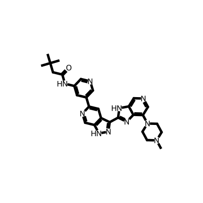 CN1CCN(c2cncc3[nH]c(-c4n[nH]c5cnc(-c6cncc(NC(=O)CC(C)(C)C)c6)cc45)nc23)CC1